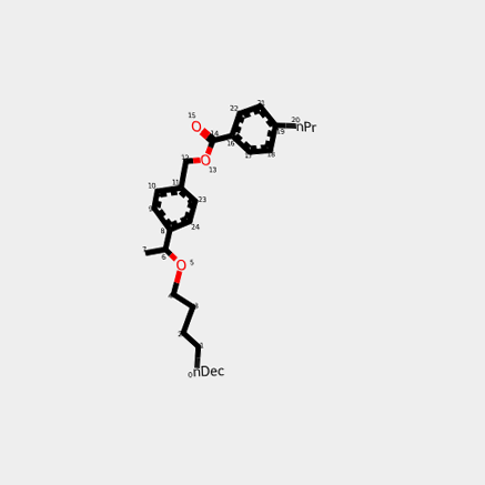 CCCCCCCCCCCCCCOC(C)c1ccc(COC(=O)c2ccc(CCC)cc2)cc1